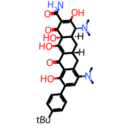 CN(C)c1cc(-c2ccc(C(C)(C)C)cc2)c(O)c2c1C[C@H]1C[C@@H]3[C@H](N(C)C)C(O)=C(C(N)=O)C(=O)[C@@]3(O)C(O)=C1C2=O